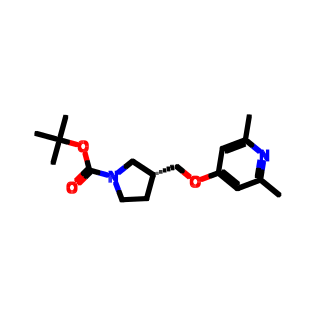 Cc1cc(OC[C@@H]2CCN(C(=O)OC(C)(C)C)C2)cc(C)n1